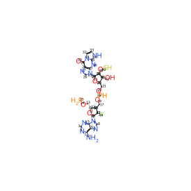 Nc1ncnc2c1ncn2[C@@H]1O[C@H](COP)[C@@H](COPOC[C@H]2O[C@@H](n3cnc4c(=O)n5cc[nH]c5nc43)[C@H](OS)[C@@H]2O)[C@@H]1F